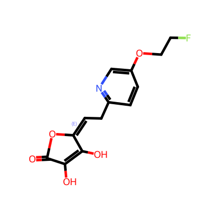 O=C1O/C(=C/Cc2ccc(OCCF)cn2)C(O)=C1O